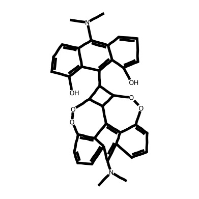 CN(C)c1c2cccc(O)c2c(C2C3OOc4cccc5c(N(C)C)c6cccc7c6c(c45)C3C2OO7)c2c(O)cccc12